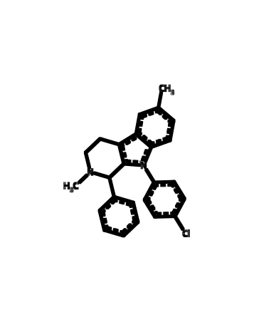 Cc1ccc2c(c1)c1c(n2-c2ccc(Cl)cc2)C(c2ccccc2)N(C)CC1